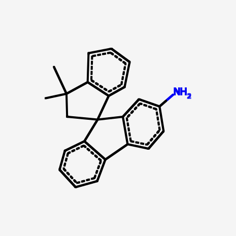 CC1(C)CC2(c3ccccc3-c3ccc(N)cc32)c2ccccc21